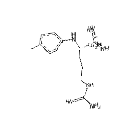 Cc1ccc(N[C@@H](CCCNC(=N)N)C(=O)O)cc1.N=C=N